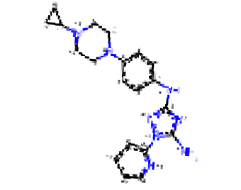 Nc1nc(Nc2ccc(N3CCN(C4CC4)CC3)cc2)nn1-c1ccccn1